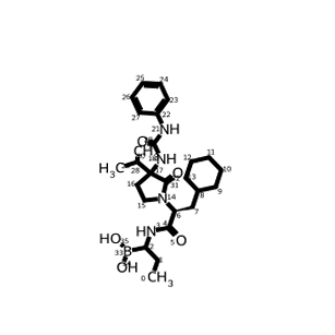 CCC(NC(=O)[C@H](CC1CCCCC1)N1CCC(NC(=O)Nc2ccccc2)(C(C)C)C1=O)B(O)O